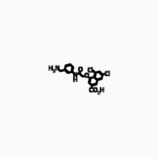 NCc1cccc(NC(=O)COc2cc(C(=O)O)cc3cc(Cl)cc(Cl)c23)c1